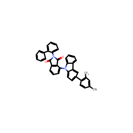 N#Cc1ccc(-c2ccc3c(c2)c2ccccc2n3-c2cccc3c2C(=O)N(c2ccccc2-c2ccccc2)C3=O)c(C(F)(F)F)c1